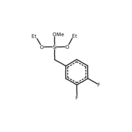 CCO[Si](Cc1ccc(F)c(F)c1)(OC)OCC